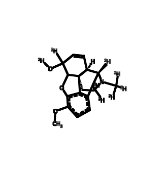 [2H]OC1([2H])C=C[C@@H]2[C@@]34CCN(C([2H])([2H])[2H])[C@]2([2H])C([2H])([2H])c2ccc(OC)c(c23)OC14